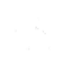 Cc1nn(C)c(C)c1C(C)(C)C